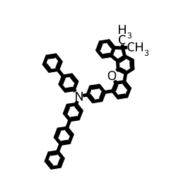 CC1(C)c2ccccc2-c2c1ccc1c2oc2c(-c3ccc(N(c4ccc(-c5ccccc5)cc4)c4ccc(-c5ccc(-c6ccccc6)cc5)cc4)cc3)cccc21